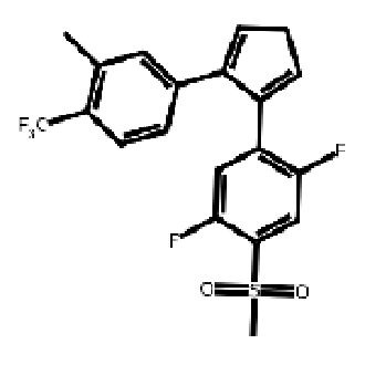 Cc1cc(C2=CCC=C2c2cc(F)c(S(C)(=O)=O)cc2F)ccc1C(F)(F)F